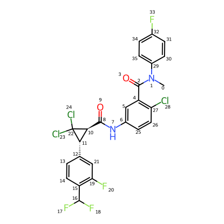 CN(C(=O)c1cc(NC(=O)[C@H]2[C@H](c3ccc(C(F)F)c(F)c3)C2(Cl)Cl)ccc1Cl)c1ccc(F)cc1